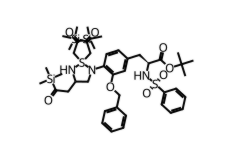 CC(C)(C)OC(=O)[C@H](Cc1ccc(N2CC(CC(=O)[Si](C)(C)C)NS2(CC(=O)[Si](C)(C)C)CC(=O)[Si](C)(C)C)c(OCc2ccccc2)c1)NS(=O)(=O)c1ccccc1